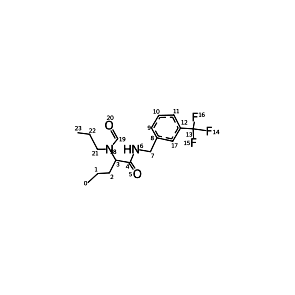 CCCC(C(=O)NCc1cccc(C(F)(F)F)c1)N(C=O)CCC